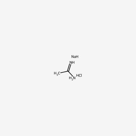 CC(=N)N.Cl.[NaH]